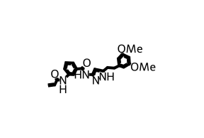 C=CC(=O)Nc1cccc(C(=O)Nc2cc(CCc3cc(OC)cc(OC)c3)[nH]n2)c1